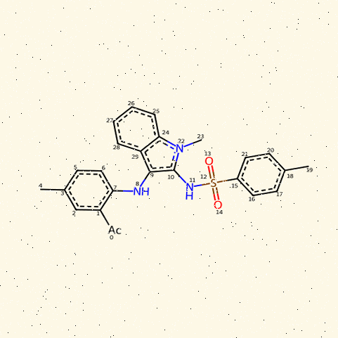 CC(=O)c1cc(C)ccc1Nc1c(NS(=O)(=O)c2ccc(C)cc2)n(C)c2ccccc12